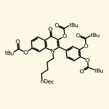 CCCCCCCCCCCCCCn1c(-c2ccc(OC(=O)C(C)(C)C)c(OC(=O)C(C)(C)C)c2)c(OC(=O)C(C)(C)C)c(=O)c2ccc(OC(=O)C(C)(C)C)cc21